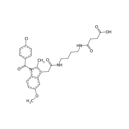 COc1ccc2c(c1)c(CC(=O)NCCCCNC(=O)CCC(=O)O)c(C)n2C(=O)c1ccc(Cl)cc1